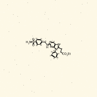 CCOC(=O)CCc1nc2cnc(NCc3ccc(S(N)(=O)=O)cc3)nc2n1-c1ccccc1